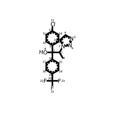 CC(n1ccnn1)C(O)(c1ccc(Cl)cc1)c1ccc(C(F)(F)F)cc1